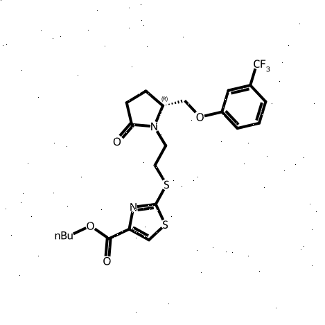 CCCCOC(=O)c1csc(SCCN2C(=O)CC[C@@H]2COc2cccc(C(F)(F)F)c2)n1